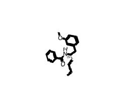 CCCC[C@@H](Cc1cccc(OC)c1)NC(=O)c1ccccc1